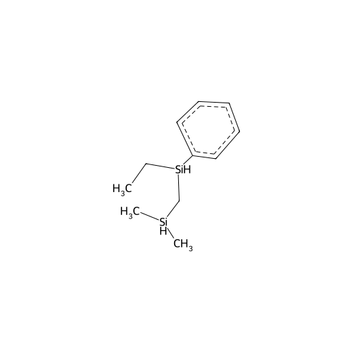 CC[SiH](C[SiH](C)C)c1ccccc1